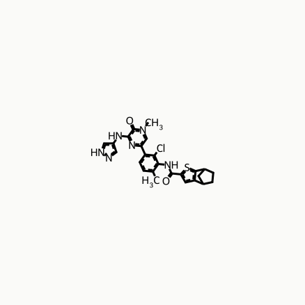 Cc1ccc(-c2cn(C)c(=O)c(Nc3cn[nH]c3)n2)c(Cl)c1NC(=O)c1cc2c(s1)C1CCC2C1